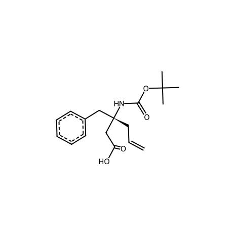 C=CC[C@@](CC(=O)O)(Cc1ccccc1)NC(=O)OC(C)(C)C